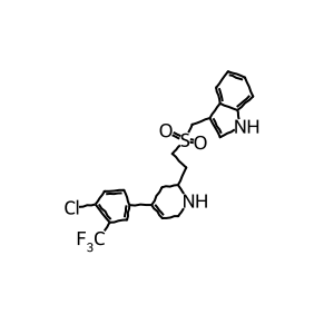 O=S(=O)(CCC1CC(c2ccc(Cl)c(C(F)(F)F)c2)=CCN1)Cc1c[nH]c2ccccc12